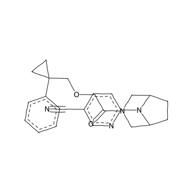 N#Cc1ccc(N2C3CCC2CN(C(=O)COCC2(c4ccccc4)CC2)C3)nc1